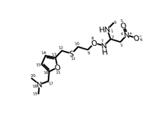 CNC(C[N+](=O)[O-])NOCCSCc1ccc(CN(C)C)o1